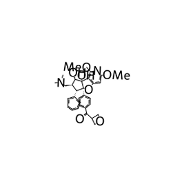 COc1cc2c(c(OC)n1)[C@]1(O)[C@H](O)[C@H](CN(C)C)[C@@H](c3ccccc3)[C@]1(c1ccc(C(=O)C3COC3)cc1)O2